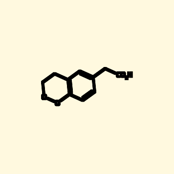 O=C(O)Cc1ccc2c(c1)CCOO2